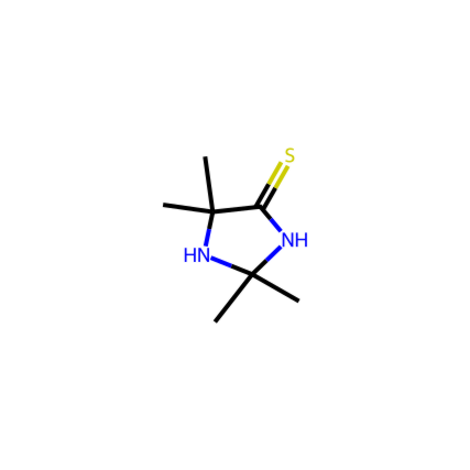 CC1(C)NC(=S)C(C)(C)N1